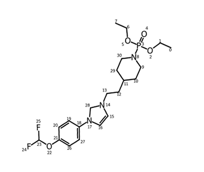 CCOP(=O)(OCC)N1CCC(CCN2C=CN(c3ccc(OC(F)F)cc3)C2)CC1